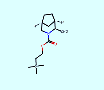 C[Si](C)(C)CCOC(=O)N1C[C@H]2CC[C@H](C2)[C@H]1C=O